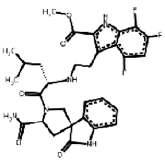 COC(=O)c1[nH]c2c(F)c(F)cc(F)c2c1CCN[C@@H](CC(C)C)C(=O)N1C[C@]2(C[C@H]1C(N)=O)C(=O)Nc1ccccc12